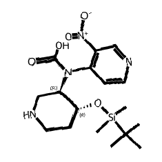 CC(C)(C)[Si](C)(C)O[C@@H]1CCNC[C@H]1N(C(=O)O)c1ccncc1[N+](=O)[O-]